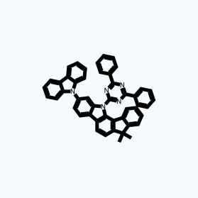 CC1(C)c2ccccc2-c2c1ccc1c3ccc(-n4c5ccccc5c5ccccc54)cc3n(-c3nc(-c4ccccc4)nc(-c4ccccc4)n3)c21